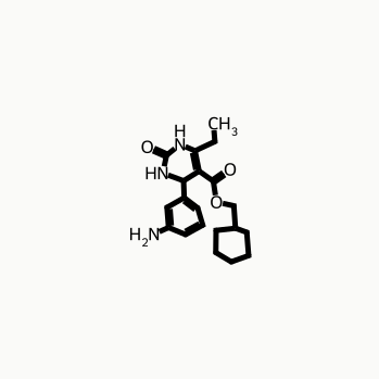 CCC1=C(C(=O)OCC2CCCCC2)C(c2cccc(N)c2)NC(=O)N1